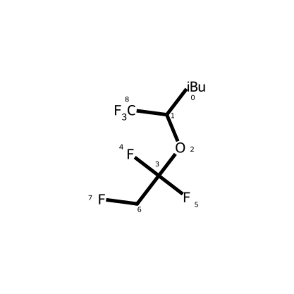 CCC(C)C(OC(F)(F)CF)C(F)(F)F